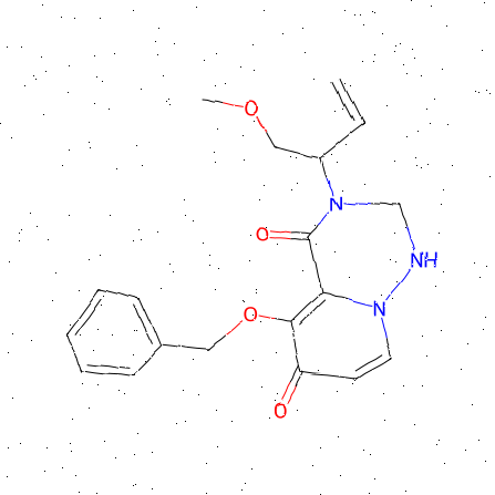 C=CC(COC)N1CNn2ccc(=O)c(OCc3ccccc3)c2C1=O